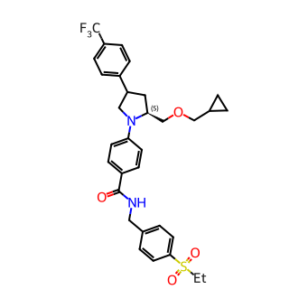 CCS(=O)(=O)c1ccc(CNC(=O)c2ccc(N3CC(c4ccc(C(F)(F)F)cc4)C[C@H]3COCC3CC3)cc2)cc1